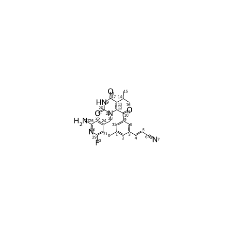 Cc1cc(/C=C/C#N)cc(C(=O)c2c(C(C)C)c(=O)[nH]c(=O)n2Cc2cc(N)nc(F)c2)c1